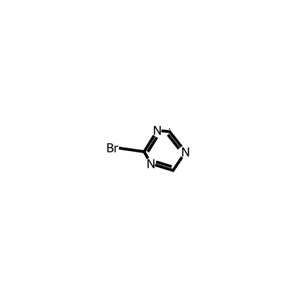 Brc1n[c]ncn1